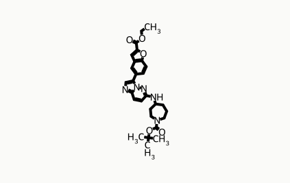 CCOC(=O)c1cc2cc(-c3cnc4ccc(NC5CCCN(C(=O)OC(C)(C)C)CC5)nn34)ccc2o1